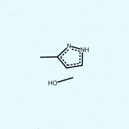 CO.Cc1cc[nH]n1